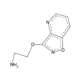 NCCOc1noc2cccnc12